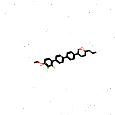 CCCC1CCC(c2ccc(-c3ccc(-c4ccc(OCC)c(F)c4F)cc3)cc2)CO1